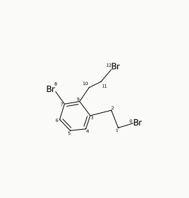 BrCCc1cccc(Br)c1CCBr